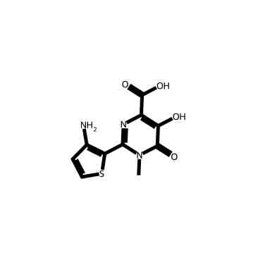 Cn1c(-c2sccc2N)nc(C(=O)O)c(O)c1=O